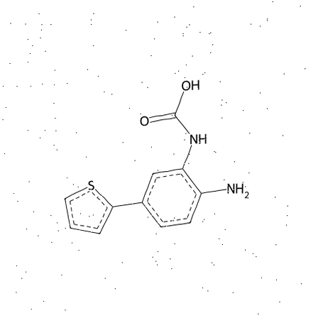 Nc1ccc(-c2cccs2)cc1NC(=O)O